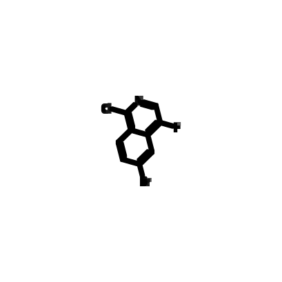 Fc1cnc(Cl)c2ccc(Br)cc12